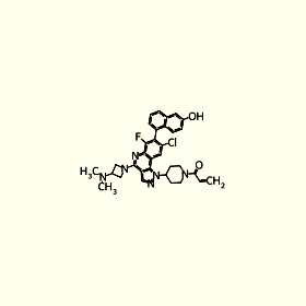 C=CC(=O)N1CCC(n2ncc3c(N4CC(N(C)C)C4)nc4c(F)c(-c5cccc6cc(O)ccc56)c(Cl)cc4c32)CC1